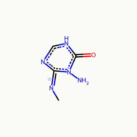 C/N=c1/nc[nH]c(=O)n1N